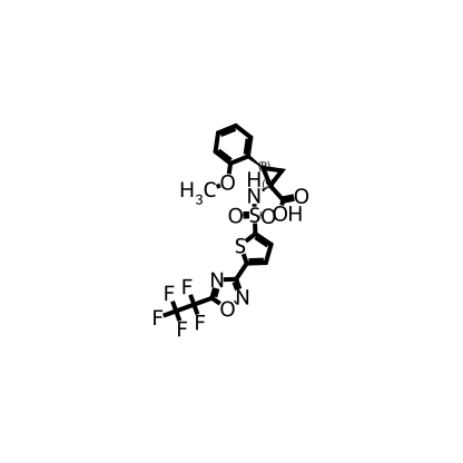 COc1ccccc1[C@H]1C[C@@]1(NS(=O)(=O)c1ccc(-c2noc(C(F)(F)C(F)(F)F)n2)s1)C(=O)O